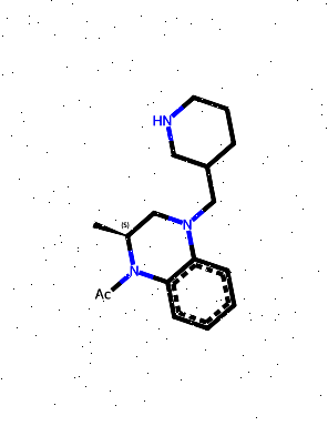 CC(=O)N1c2ccccc2N(CC2CCCNC2)C[C@@H]1C